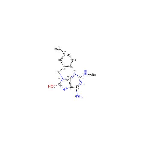 CCCCNc1nc(N)c2nc(O)n(Cc3cccc(C)c3)c2n1